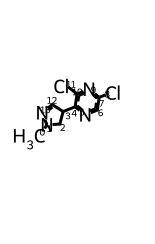 CN1CC(c2ncc(Cl)nc2Cl)C=N1